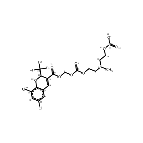 CN(CCOC(=O)OCOC(=O)C1=Cc2cc(Cl)cc(Cl)c2OC1C(F)(F)F)CCO[N+](=O)[O-]